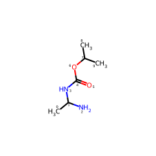 CC(N)NC(=O)OC(C)C